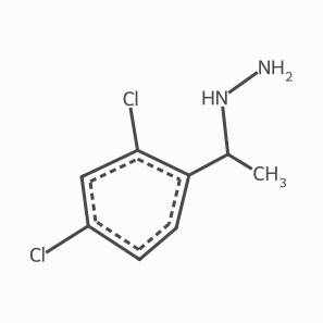 CC(NN)c1ccc(Cl)cc1Cl